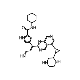 N=C/C=C(\c1c[nH]c(C(=O)NC2CCCCC2)c1)c1ncc2c(C3CC3C3CNCCN3)cncc2n1